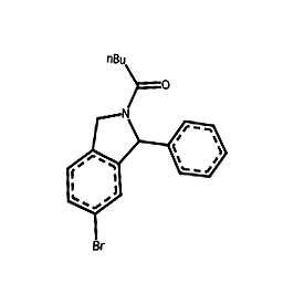 CCCCC(=O)N1Cc2ccc(Br)cc2C1c1ccccc1